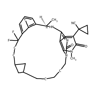 C[C@H]1Nc2nc(=O)n(c3c2cc(C2(C#N)CC2)c(=O)n3C)CCCCCC2CC(CCC(F)(F)c3cccc1c3F)C2